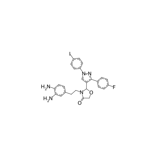 Nc1ccc(CCN2C(=O)COC2c2cn(-c3ccc(I)cc3)nc2-c2ccc(F)cc2)cc1N